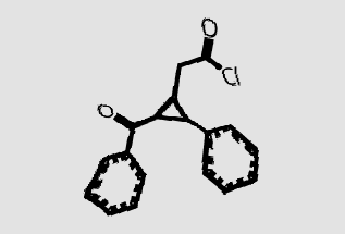 O=C(Cl)CC1C(C(=O)c2ccccc2)C1c1ccccc1